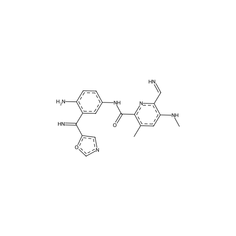 CNc1cc(C)c(C(=O)Nc2ccc(N)c(C(=N)c3cnco3)c2)nc1C=N